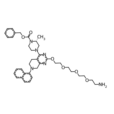 C[C@@H]1CN(c2nc(OCCOCCOCCOCCN)nc3c2CCN(c2cccc4ccccc24)C3)CCN1C(=O)OCc1ccccc1